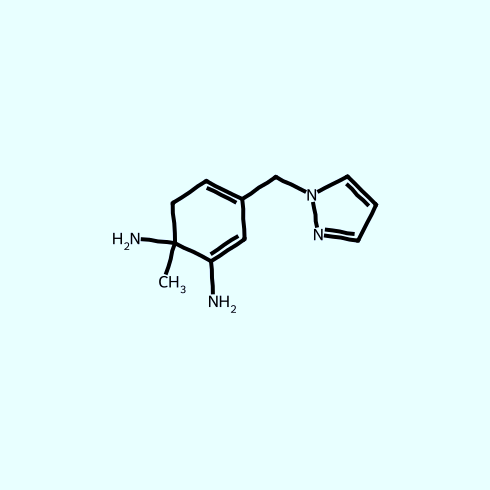 CC1(N)CC=C(Cn2cccn2)C=C1N